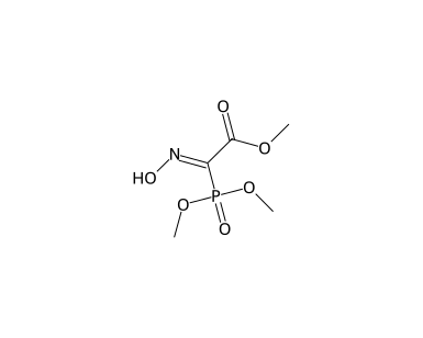 COC(=O)C(=NO)P(=O)(OC)OC